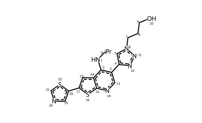 CC(C)Nc1c(-c2cn(CCCO)nn2)cnc2sc(-c3cncs3)cc12